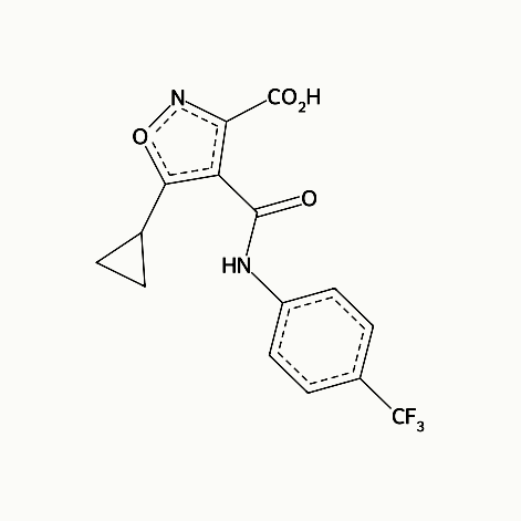 O=C(O)c1noc(C2CC2)c1C(=O)Nc1ccc(C(F)(F)F)cc1